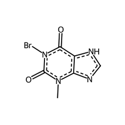 Cn1c(=O)n(Br)c(=O)c2[nH]cnc21